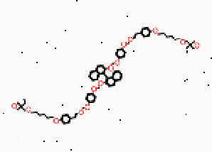 CCC1(COCCCCCCOc2ccc(/C=C/OCOc3ccc(OCOc4ccc5ccccc5c4-c4c(OCOc5ccc(OCO/C=C/c6ccc(OCCCCCCOCC7(CC)COC7)cc6)cc5)ccc5ccccc45)cc3)cc2)COC1